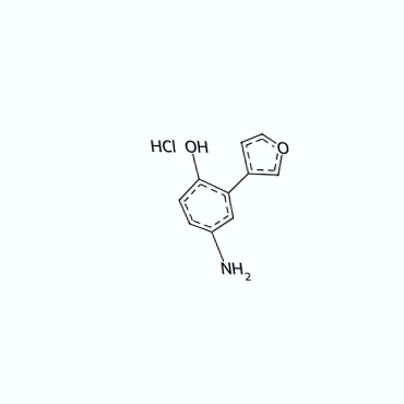 Cl.Nc1ccc(O)c(-c2ccoc2)c1